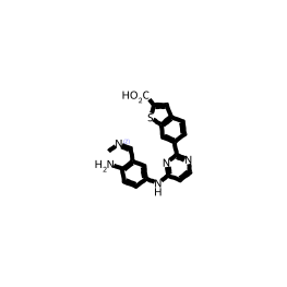 C/N=C\c1cc(Nc2ccnc(-c3ccc4cc(C(=O)O)sc4c3)n2)ccc1N